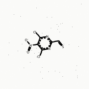 O=[N+]([O-])c1c(Cl)nc(C=S)nc1Cl